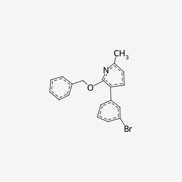 Cc1ccc(-c2cccc(Br)c2)c(OCc2ccccc2)n1